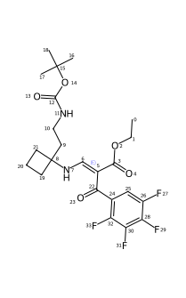 CCOC(=O)/C(=C/NC1(CCNC(=O)OC(C)(C)C)CCC1)C(=O)c1cc(F)c(F)c(F)c1F